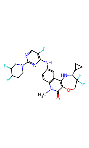 Cn1c(=O)c2c(c3cc(Nc4nc(N5CC[C@@H](F)[C@@H](F)C5)ncc4F)ccc31)N[C@@H](C1CC1)C(F)(F)CO2